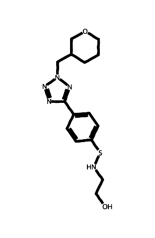 OCCNSc1ccc(-c2nnn(CC3CCCOC3)n2)cc1